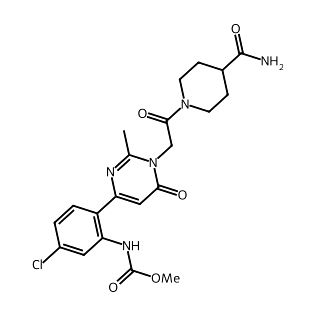 COC(=O)Nc1cc(Cl)ccc1-c1cc(=O)n(CC(=O)N2CCC(C(N)=O)CC2)c(C)n1